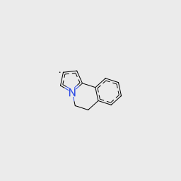 [c]1cc2n(c1)CCc1ccccc1-2